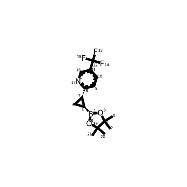 CC1(C)OB([C@H]2C[C@@H]2c2ccc(C(F)(F)F)cn2)OC1(C)C